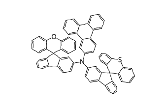 c1ccc2c(c1)Oc1ccccc1C21c2ccccc2-c2ccc(N(c3ccc4c(c3)C3(c5ccccc5Sc5ccccc53)c3ccccc3-4)c3ccc4c5ccccc5c5ccccc5c4c3)cc21